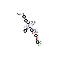 CC[C@@H](c1ccccc1)N1Cc2cc3c(cc2C[C@H]1C(=O)NC(Cc1ccc(-c2ccc(OC)cc2)cc1)C(=O)O)N(C)C(=O)[C@H](c1ccc(OCc2ccc(Cl)c(Cl)c2)cc1)O3